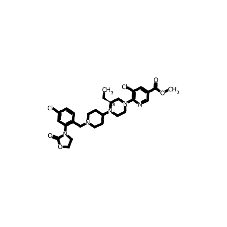 CC[C@H]1CN(c2ncc(C(=O)OC)cc2Cl)CCN1C1CCN(Cc2ccc(Cl)cc2N2CCOC2=O)CC1